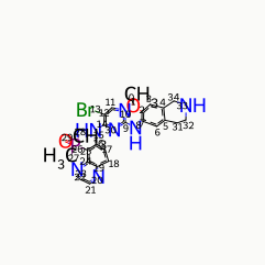 COc1cc2c(cc1Nc1ncc(Br)c(Nc3ccc4nccnc4c3P(C)(C)=O)n1)CCNC2